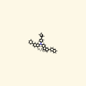 CC1(C)c2ccc(-c3ccc4ccccc4c3)cc2-c2ccc(N(c3ccc(C4CC5CCC4C5)cc3)c3ccc4ccc(C5CCCCC5)cc4c3)cc21